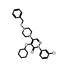 O=c1c(OC2CCCCC2)c(N2CCN(SCc3ccccc3)CC2)cnn1-c1cccc(Cl)c1